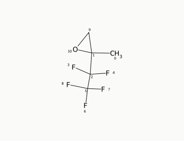 CC1(C(F)(F)C(F)(F)F)CO1